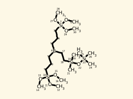 CO[Si](CCCB(CCC[Si](OC)(OC)OC)CC[Si](C)(C)O[Si](C)(C)C)(OC)OC